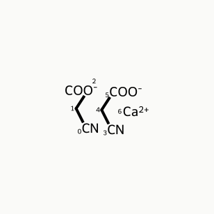 N#CCC(=O)[O-].N#CCC(=O)[O-].[Ca+2]